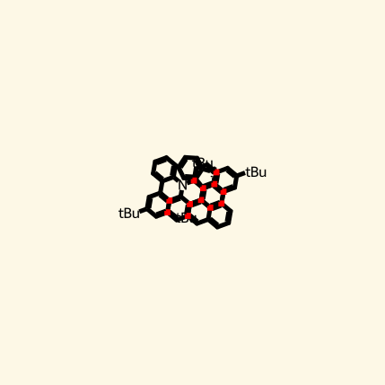 CC(C)(C)c1cc(-c2ccccc2N(c2ccccc2-c2cccc3cccc(-c4cc(C(C)(C)C)cc(C(C)(C)C)c4)c23)c2ccccc2-c2cccc3sc4ccccc4c23)cc(C(C)(C)C)c1